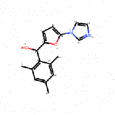 Cc1cc(C)c(C(O)c2ccc(-n3ccnc3)o2)c(C)c1